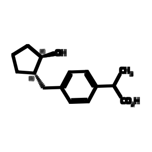 CC(C(=O)O)c1ccc(C[C@@H]2CCC[C@H]2O)cc1